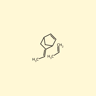 C=CC.CC=C1CC2C=CC1C2